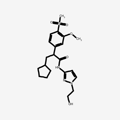 COc1cc(C(CC2CCCC2)C(=O)Nc2ccn(CCO)n2)ccc1S(C)(=O)=O